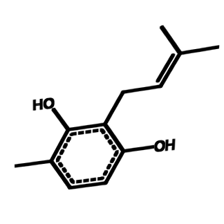 CC(C)=CCc1c(O)ccc(C)c1O